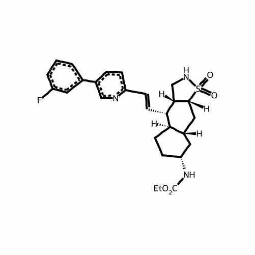 CCOC(=O)N[C@@H]1CC[C@@H]2[C@@H](C1)C[C@@H]1[C@@H](CNS1(=O)=O)[C@H]2/C=C/c1ccc(-c2cccc(F)c2)cn1